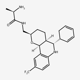 C[C@@H](N)C(=O)NC[C@H]1CC[C@@H]2[C@H](O1)c1cc(C(F)(F)F)ccc1N[C@H]2C1C=CC=CC1